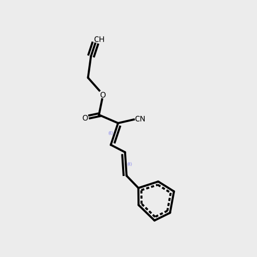 C#CCOC(=O)/C(C#N)=C/C=C/c1ccccc1